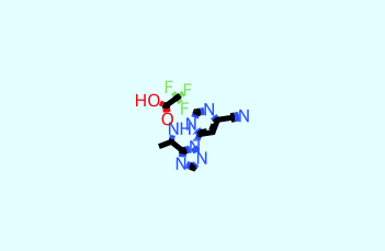 CC(N)c1ncnn1-c1cc(C#N)ncn1.O=C(O)C(F)(F)F